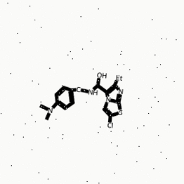 CCc1nc2sc(Cl)cn2c1C(O)NCc1ccc(N(C)C)cc1